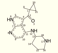 CC1(C(=O)c2c[nH]c3nccc(NC4CCCNC4)c23)CC1